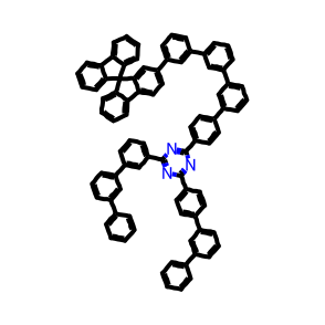 c1ccc(-c2cccc(-c3ccc(-c4nc(-c5ccc(-c6cccc(-c7cccc(-c8cccc(-c9ccc%10c(c9)C9(c%11ccccc%11-c%11ccccc%119)c9ccccc9-%10)c8)c7)c6)cc5)nc(-c5cccc(-c6cccc(-c7ccccc7)c6)c5)n4)cc3)c2)cc1